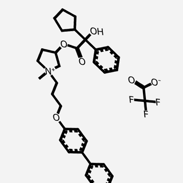 C[N+]1(CCCOc2ccc(-c3ccccc3)cc2)CCC(OC(=O)C(O)(c2ccccc2)C2CCCC2)C1.O=C([O-])C(F)(F)F